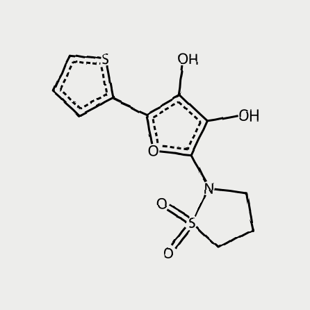 O=S1(=O)CCCN1c1oc(-c2cccs2)c(O)c1O